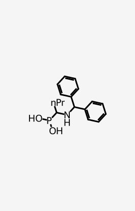 CCCC(NC(c1ccccc1)c1ccccc1)P(O)O